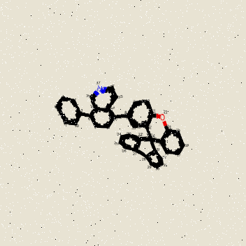 c1ccc(-c2ccc(-c3ccc4c(c3)C3(c5ccccc5O4)c4ccccc4-c4ccccc43)c3ccncc23)cc1